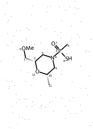 COC[C@@H]1CN(P(C)(=O)S)C[C@H](C)O1